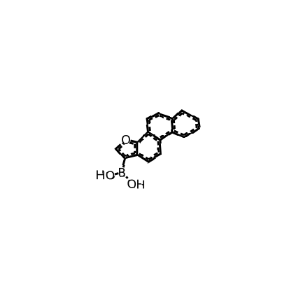 OB(O)c1coc2c1ccc1c3ccccc3ccc12